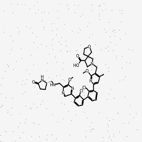 COc1nc(-c2cccc(-c3cccc(-c4cc(C)c(CN5CC(C(=O)O)C6(CCOC6)C5)c(OC)n4)c3Cl)c2Cl)cnc1CNC[C@@H]1CCC(=O)N1